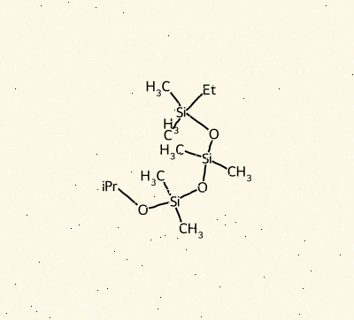 CC[Si](C)(C)O[Si](C)(C)O[Si](C)(C)OC(C)C